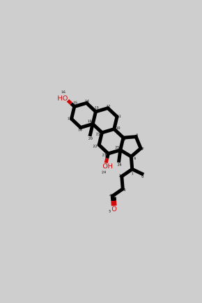 CC(CCC=O)C1CCC2C3CCC4CC(O)CCC4(C)C3CC(O)C12C